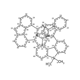 C[Si]1(C)c2cccc(-c3ccccc3)c2-c2c(-c3nc(-c4ccccc4)nc(-c4cccc5oc6cccc(-c7ccccc7)c6c45)n3)cccc21